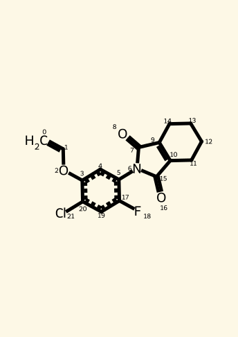 C=COc1cc(N2C(=O)C3=C(CCCC3)C2=O)c(F)cc1Cl